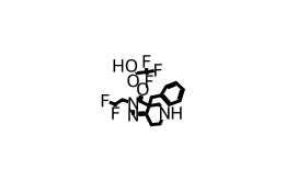 O=C(O)C(F)(F)F.O=C1N(CC(F)F)N=C2CCNCC12Cc1ccccc1